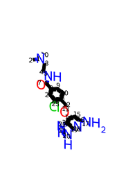 CN(C)CCNC(=O)c1ccc(COc2cc(N)nc3[nH]nnc23)c(Cl)c1